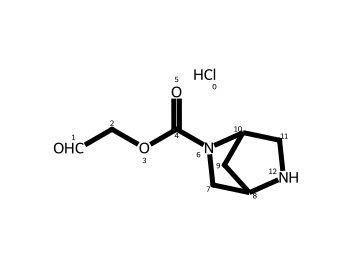 Cl.O=CCOC(=O)N1CC2CC1CN2